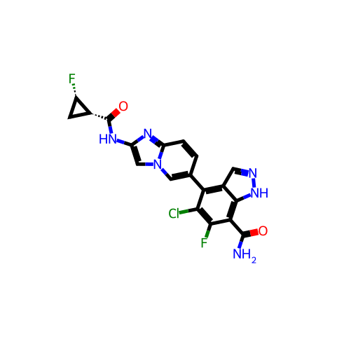 NC(=O)c1c(F)c(Cl)c(-c2ccc3nc(NC(=O)[C@@H]4C[C@@H]4F)cn3c2)c2cn[nH]c12